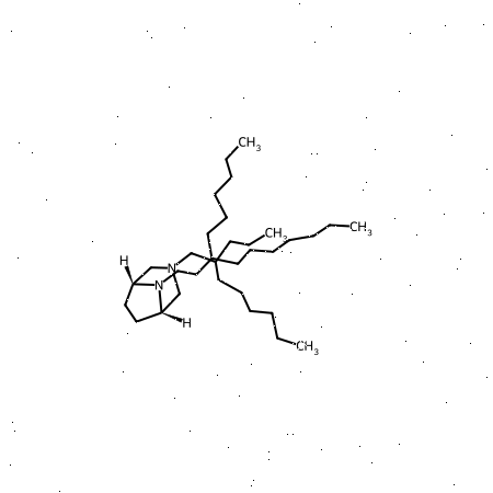 CCCCCCCC(CCCCCC)CCN1[C@@H]2CC[C@H]1CN(CC(CCC)CCCCCC)C2